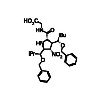 CC[C@H](C)[C@H](OCc1ccccc1)[C@H]1[C@H]([N+](=O)[O-])[C@@H]([C@@H](OCc2ccccc2)C(C)C)N[C@@H]1C(=O)NCC(=O)O